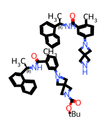 Cc1ccc(N2CC3(CN(C(=O)OC(C)(C)C)C3)C2)cc1C(=O)N[C@H](C)c1cccc2ccccc12.Cc1ccc(N2CC3(CNC3)C2)cc1C(=O)N[C@H](C)c1cccc2ccccc12